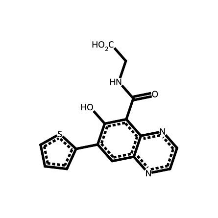 O=C(O)CNC(=O)c1c(O)c(-c2cccs2)cc2nccnc12